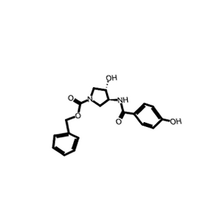 O=C(N[C@H]1CN(C(=O)OCc2ccccc2)C[C@@H]1O)c1ccc(O)cc1